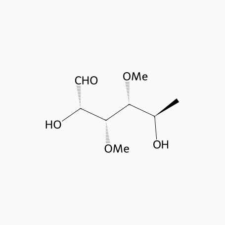 CO[C@@H]([C@H](OC)[C@@H](C)O)[C@H](O)C=O